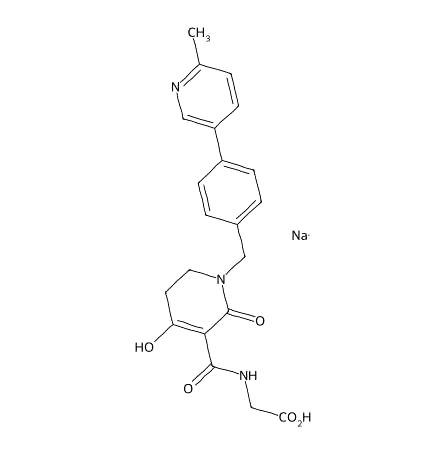 Cc1ccc(-c2ccc(CN3CCC(O)=C(C(=O)NCC(=O)O)C3=O)cc2)cn1.[Na]